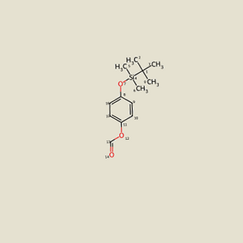 CC(C)(C)[Si](C)(C)Oc1ccc(OC=O)cc1